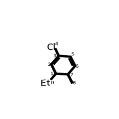 CCC1C=C(Cl)C=CC1C